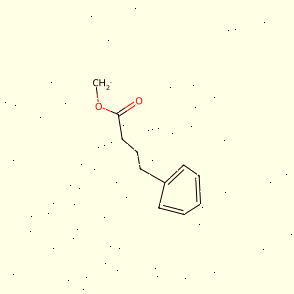 [CH2]OC(=O)CCCc1ccccc1